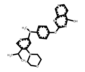 CC(C)c1cnc(N(C)c2ccc(Oc3nc(O)c4ccncc4n3)cc2)cc1N1CCOCC1